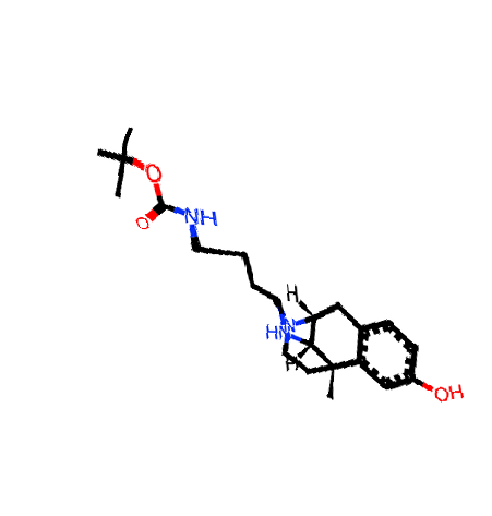 CN1CC[C@@]2(C)c3cc(O)ccc3C[C@@H]1[C@H]2NCCCCNC(=O)OC(C)(C)C